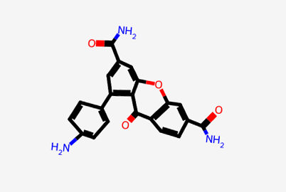 NC(=O)c1ccc2c(=O)c3c(-c4ccc(N)cc4)cc(C(N)=O)cc3oc2c1